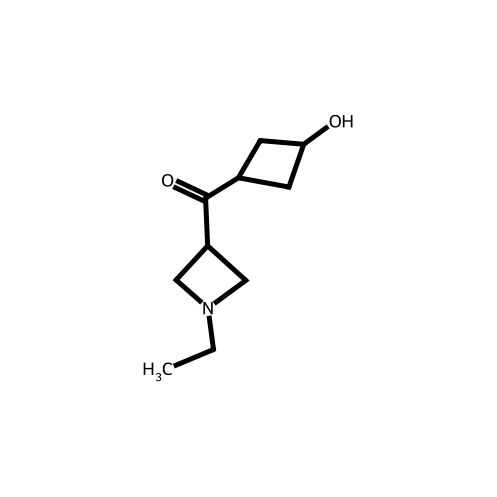 CCN1CC(C(=O)C2CC(O)C2)C1